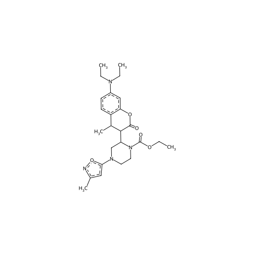 CCOC(=O)N1CCN(c2cc(C)no2)CC1C1C(=O)Oc2cc(N(CC)CC)ccc2C1C